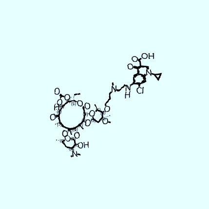 CC[C@@H]1OC(=O)[C@H](C)[C@H](O[C@@H]2C[C@](C)(OC)[C@H](OCCCN(C)CCNc3cc4c(=O)c(C(=O)O)cn(C5CC5)c4cc3Cl)[C@H](C)O2)[C@@H](C)[C@H](O[C@H]2O[C@@H](C)C[C@@H](N(C)C)[C@H]2O)[C@](C)(OC)C[C@H](C)C(=O)[C@H](C)[C@H]2OC(=O)O[C@@]12C